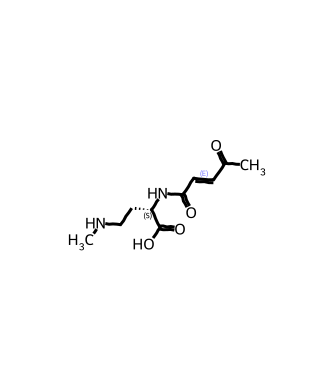 CNCC[C@H](NC(=O)/C=C/C(C)=O)C(=O)O